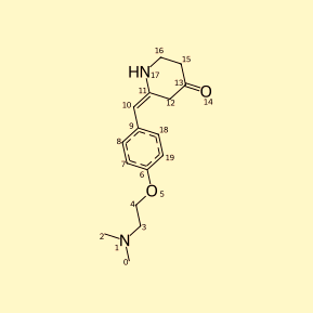 CN(C)CCOc1ccc(C=C2CC(=O)CCN2)cc1